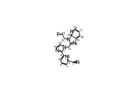 N#Cc1cccc(-c2nccn2Cc2nc3cccnc3n2CCF)n1